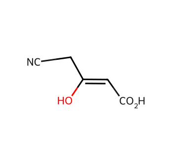 N#CCC(O)=CC(=O)O